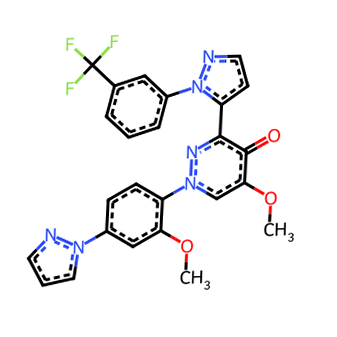 COc1cc(-n2cccn2)ccc1-n1cc(OC)c(=O)c(-c2ccnn2-c2cccc(C(F)(F)F)c2)n1